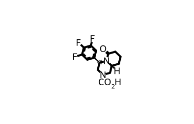 O=C(O)N1C[C@H]2CCCC(=O)N2[C@H](c2cc(F)c(F)c(F)c2)C1